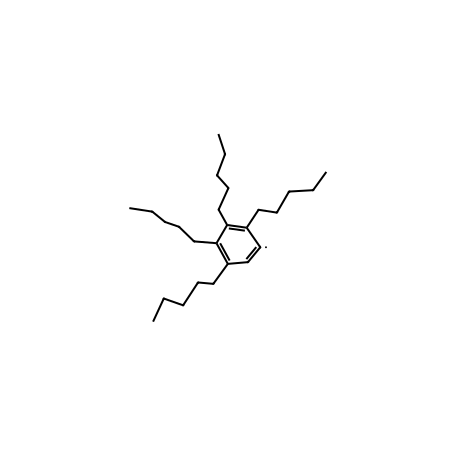 CCCCCc1[c]cc(CCCCC)c(CCCCC)c1CCCCC